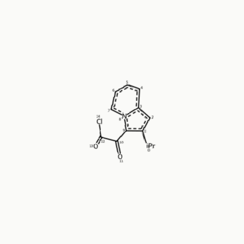 CC(C)c1cc2ccccn2c1C(=O)C(=O)Cl